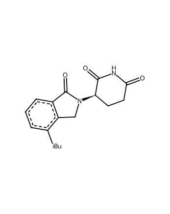 CCC(C)c1cccc2c1CN([C@@H]1CCC(=O)NC1=O)C2=O